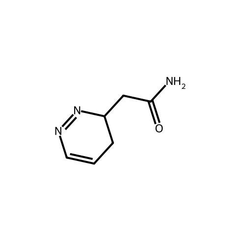 NC(=O)CC1CC=CN=N1